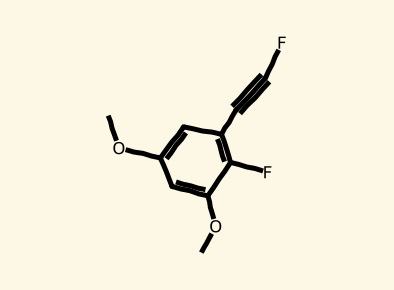 COc1cc(C#CF)c(F)c(OC)c1